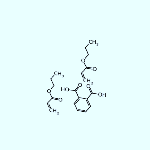 C=CC(=O)OCCC.C=CC(=O)OCCC.O=C(O)c1ccccc1C(=O)O